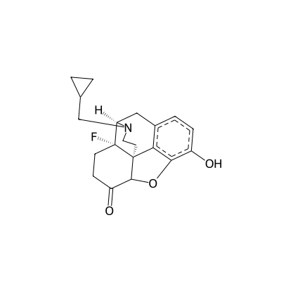 O=C1CC[C@@]2(F)[C@H]3Cc4ccc(O)c5c4[C@@]2(CCN3CC2CC2)C1O5